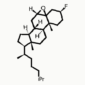 CC(C)CCC[C@@H](C)[C@H]1CC[C@H]2[C@@H]3C[C@@H]4OC45C[C@@H](F)CC[C@]5(C)[C@H]3CC[C@]12C